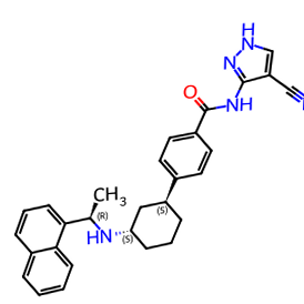 C[C@@H](N[C@H]1CCC[C@H](c2ccc(C(=O)Nc3n[nH]cc3C#N)cc2)C1)c1cccc2ccccc12